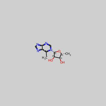 Cc1c2ncnc-2ncn1[C@@H]1O[C@H](C)[C@@H](O)[C@H]1O